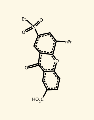 CCCc1cc(S(=O)(=O)CC)cc2c(=O)c3cc(C(=O)O)ccc3oc12